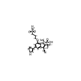 CCOP(=O)(O)C(F)(F)c1sc2c(OCCCS(N)(=O)=O)cc(-c3c[nH]nn3)cc2c1C#N